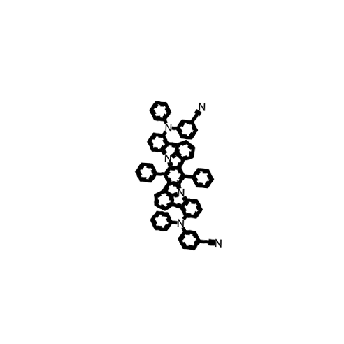 N#Cc1cccc(N(c2ccccc2)c2cccc3c2c2cccc4c5c(-c6ccccc6)c6c(c(-c7ccccc7)c5n3c24)c2cccc3c4c(N(c5ccccc5)c5cccc(C#N)c5)cccc4n6c32)c1